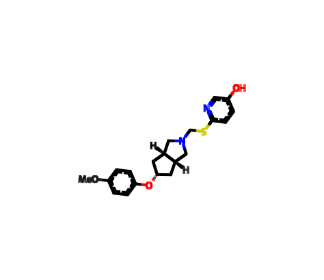 COc1ccc(O[C@@H]2C[C@@H]3CN(CSc4ccc(O)cn4)C[C@@H]3C2)cc1